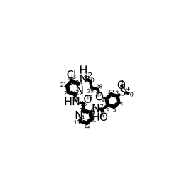 C[S+]([O-])c1ccc(C(=O)Nc2cccnc2C(=O)Nc2ccc(Cl)cn2)c(OCCCN)c1